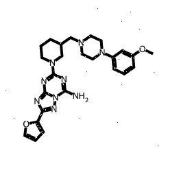 COc1cccc(N2CCN(CC3CCCN(c4nc(N)n5nc(-c6ccco6)nc5n4)C3)CC2)c1